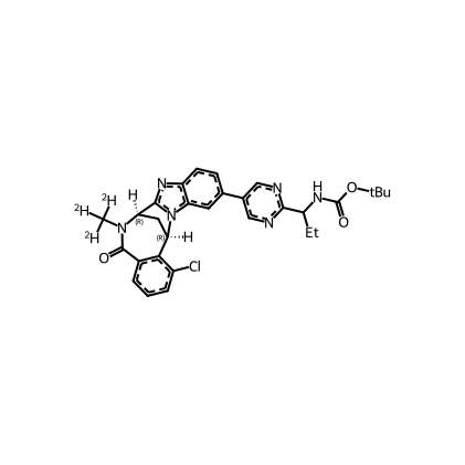 [2H]C([2H])([2H])N1C(=O)c2cccc(Cl)c2[C@H]2C[C@@H]1c1nc3ccc(-c4cnc(C(CC)NC(=O)OC(C)(C)C)nc4)cc3n12